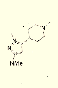 CNc1cc(C2CCN(C)CC2)n(C)n1